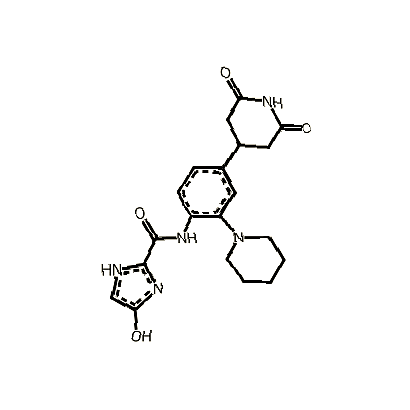 O=C1CC(c2ccc(NC(=O)c3nc(O)c[nH]3)c(N3CCCCC3)c2)CC(=O)N1